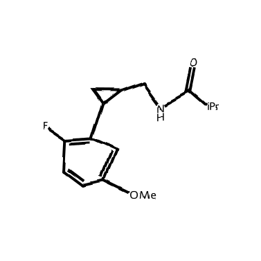 COc1ccc(F)c(C2CC2CNC(=O)C(C)C)c1